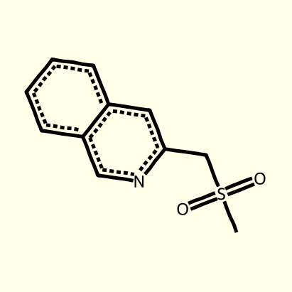 CS(=O)(=O)Cc1cc2ccccc2cn1